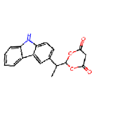 CC(c1ccc2[nH]c3ccccc3c2c1)C1OC(=O)CC(=O)O1